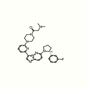 CN(C)CC(=O)N1CCN(c2cccc(-c3cnc4ccc(N5CCC[C@@H]5c5cccc(F)c5)nn34)n2)CC1